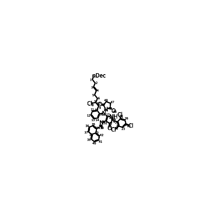 CCCCCCCCCCCCC=CCCC(Cl)Cc1ccccc1N(c1[nH]n(-c2c(Cl)cc(Cl)cc2Cl)c(=O)c1N=Nc1cccc2ccccc12)N1C(=O)CCC1=O